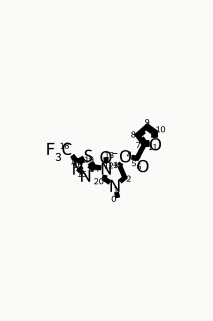 CN1CC(OC(=O)c2ccco2)[N+]([O-])(c2nnc(C(F)(F)F)s2)C1